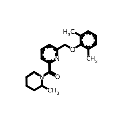 Cc1cccc(C)c1OCc1cccc(C(=O)N2CCCCC2C)n1